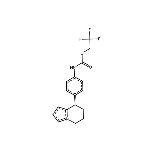 O=C(Nc1ccc([C@H]2CCCn3cncc32)cc1)OCC(F)(F)F